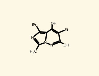 CCc1c(O)nn2c(C)nc(C(C)C)c2c1O